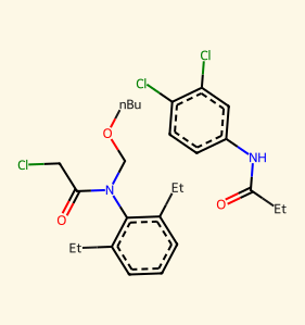 CCC(=O)Nc1ccc(Cl)c(Cl)c1.CCCCOCN(C(=O)CCl)c1c(CC)cccc1CC